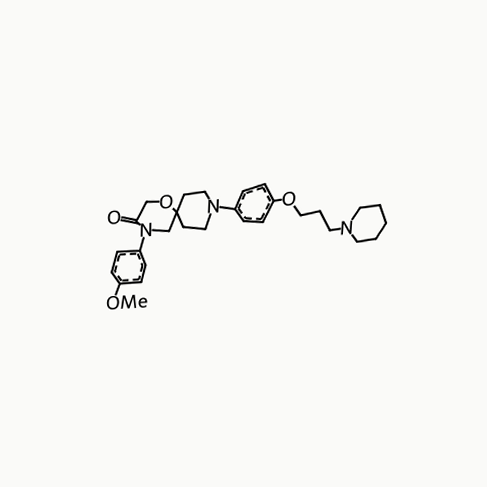 COc1ccc(N2CC3(CCN(c4ccc(OCCCN5CCCCC5)cc4)CC3)OCC2=O)cc1